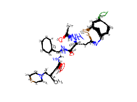 CCCC(=O)N[C@@H](Cc1nc2ccc(Cl)cc2s1)C(=O)N[C@H](CNC(=O)C(C)CN1CCSCC1)C1CCCCC1